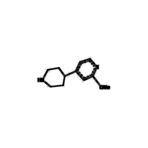 COc1cc(C2CCNCC2)ccn1